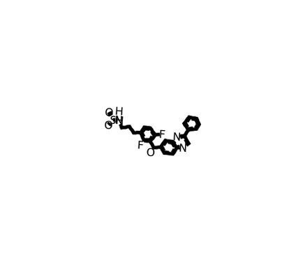 O=C(c1ccc2ncc(-c3ccccc3)nc2c1)c1c(F)ccc(CCCN[SH](=O)=O)c1F